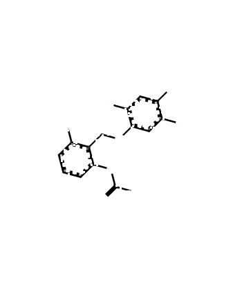 CCC(=O)Oc1cccc(C)c1COc1cc(Cl)c(C)cc1C